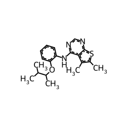 Cc1sc2ncnc(Nc3ccccc3OC(C)C(C)C)c2c1C